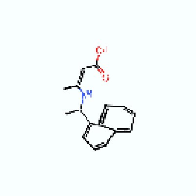 C/C(=C/C(=O)O)N[C@H](C)c1cccc2ccccc12